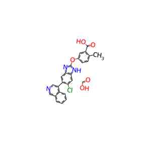 Cc1ccc(Oc2nc3cc(-c4cncc5ccccc45)c(Cl)cc3[nH]2)cc1C(=O)O.O=CO